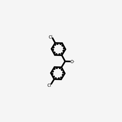 [O]C(c1ccc(Cl)cc1)c1ccc(Cl)cc1